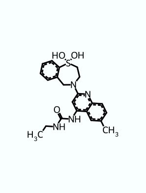 CCNC(=O)Nc1cc(N2CCS(O)(O)c3ccccc3C2)nc2ccc(C)cc12